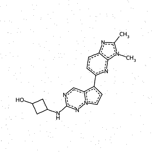 Cc1nc2ccc(-c3ccn4nc(NC5CC(O)C5)ncc34)nc2n1C